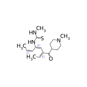 C\C=C/C(=C\C(=C/C)C(=O)C1CCN(C)CC1)NC(=S)NC